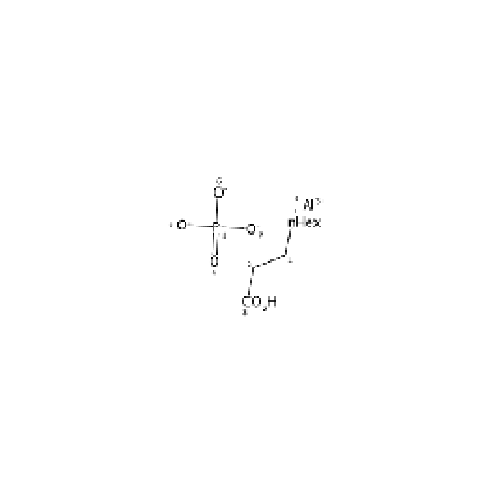 CCCCCCCCC(=O)O.O=P([O-])([O-])[O-].[Al+3]